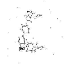 COc1ccc(-c2ccc(CCC(N)(CO)CO)cc2)cc1C1(C)CC2CC(C)CC(C2)C1